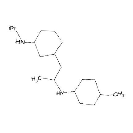 CC1CCC(NC(C)CC2CCCC(NC(C)C)C2)CC1